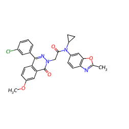 COc1ccc2c(-c3cccc(Cl)c3)nn(CC(=O)N(c3ccc4nc(C)oc4c3)C3CC3)c(=O)c2c1